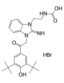 Br.CC(C)(C)c1cc(C(=O)Cn2c(=N)n(CCNC(=O)O)c3ccccc32)cc(C(C)(C)C)c1O